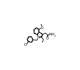 CCc1c(CC(N)=O)c2c(OC)cccc2n1Cc1cccc(Cl)c1